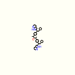 CC(C(=O)C(C)c1ccc(C(=CC2CCCC2)c2cc3cccnc3[nH]2)cc1)c1ccc(C(=CC2CCCC2)c2cc3cccnc3[nH]2)cc1